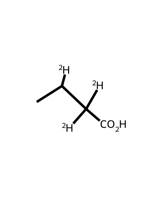 [2H]C(C)C([2H])([2H])C(=O)O